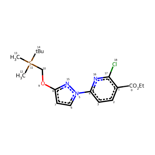 CCOC(=O)c1ccc(-n2ccc(OCS(C)(C)C(C)(C)C)n2)nc1Cl